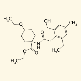 CCOC(=O)C1(NC(=O)Cc2c(CC)cc(C)cc2CO)CCC(OCC)CC1